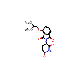 COC(COc1cccc2c1C(=O)N(C1CCC(=O)NC1=O)C2=O)OC